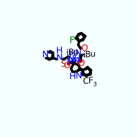 CCC(C)[C@H](NC(=O)Cc1ccccc1F)C(=O)N[C@]1(C(=O)N[C@H](C(=S)NCc2ccncc2)C(C)CC)CCc2[nH]c3c(C(F)(F)F)cccc3c2C1